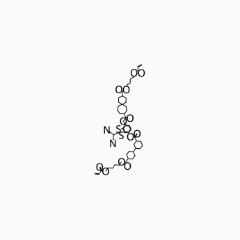 C=CC(=O)OCCCCOC(=O)C1CCC(C2CCCC(C(=O)Oc3ccc(OC(=O)C4CCCC5(CCC(C(=O)OCCCCOC(=O)C=C)CC5)CC4)c4c3SC(C(C#N)C#N)S4)C2)CC1